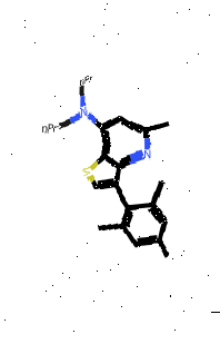 CCCN(CCC)c1cc(C)nc2c(-c3c(C)cc(C)cc3C)csc12